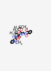 CNC(=O)[C@H](Cc1ccccc1)NC(=O)[C@H](CC(C)C)NC(CCN1C(=O)c2ccccc2C1=O)C(=O)OC(C)(C)C